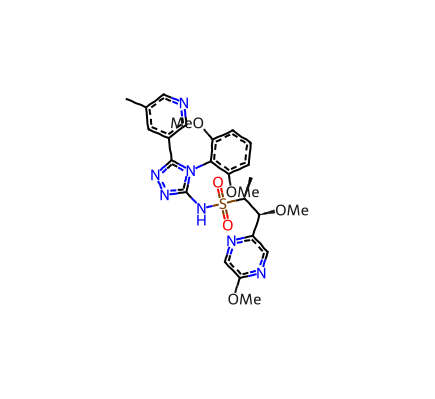 COc1cnc([C@H](OC)[C@H](C)S(=O)(=O)Nc2nnc(-c3cncc(C)c3)n2-c2c(OC)cccc2OC)cn1